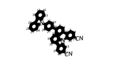 N#Cc1ccc(-c2ccc(-c3ccc(-n4c5ccccc5c5ccccc54)cc3)cc2)c(-n2c3ccccc3c3ccc(C#N)cc32)c1